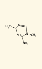 CC(N)/N=C\N(C)CN